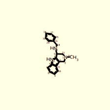 CN1Cc2c([nH]c3ccccc23)C(NCc2ccccc2)C1